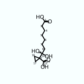 O=C(O)CCCCCCC(O)(O)C1(C(=O)O)CC1